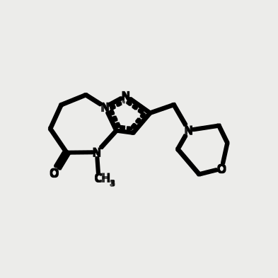 CN1C(=O)CCCn2nc(CN3CCOCC3)cc21